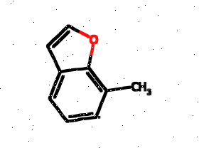 Cc1[c]ccc2ccoc12